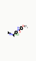 Cl.O=C(Nc1ccc(C2CC2NCC2CC2)cc1)c1ccc(OC(F)(F)F)cc1